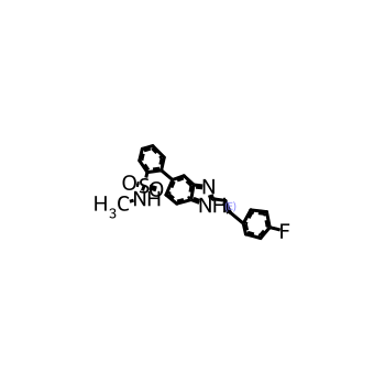 CNS(=O)(=O)c1ccccc1-c1ccc2[nH]c(/C=C/c3ccc(F)cc3)nc2c1